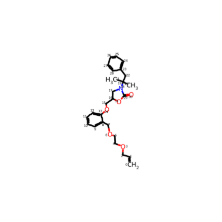 C=CCOCCOCc1ccccc1OCC1CN(C(C)(C)Cc2ccccc2)C(=O)O1